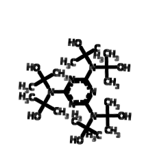 CC(C)(O)N(c1nc(N(C(C)(C)O)C(C)(C)O)nc(N(C(C)(C)O)C(C)(C)O)n1)C(C)(C)O